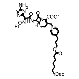 CCCCCCCCCCCCCCCC(=O)OCCCc1cc[n+](CC2=C(C(=O)[O-])N3C(=O)C(NC(=O)C(=NOCC)c4nsc(N)n4)[C@@H]3SC2)cc1